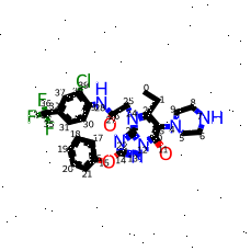 CCc1c(N2CCNCC2)c(=O)n2nc(Oc3ccccc3)nc2n1CC(=O)Nc1ccc(C(F)(F)F)cc1Cl